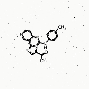 Cc1ccc(Nc2nc3ccncc3c3ncc(C(=O)O)n23)cc1